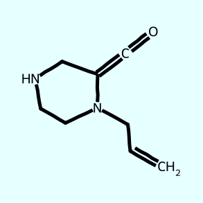 C=CCN1CCNCC1=C=O